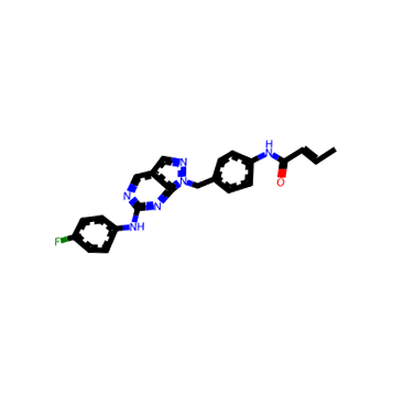 C/C=C/C(=O)Nc1ccc(Cn2ncc3cnc(Nc4ccc(F)cc4)nc32)cc1